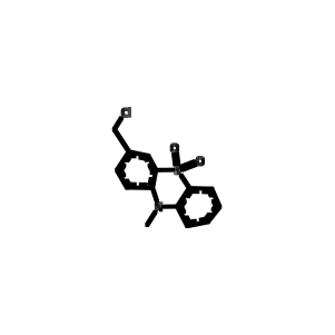 CN1c2ccccc2S(=O)(=O)c2cc(CCl)ccc21